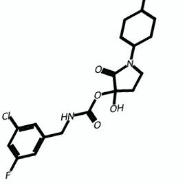 CC(=O)NC1CCC(N2CCC(O)(OC(=O)NCc3cc(F)cc(Cl)c3)C2=O)CC1